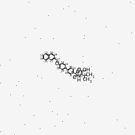 CC(C)C(NS(=O)(=O)c1ccc(-c2ccc(OCc3ccc4ccccc4c3)cc2)cc1)C(=O)O